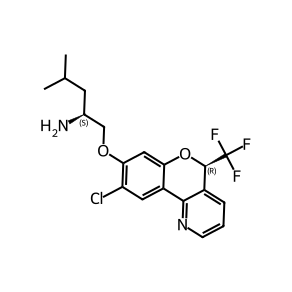 CC(C)C[C@H](N)COc1cc2c(cc1Cl)-c1ncccc1[C@H](C(F)(F)F)O2